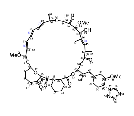 CO[C@H]1CC2CC[C@@H](C)C(=O)C(O)(O2)C(=O)N2CCCCC2C(=O)O[C@H]([C@H](C)C[C@@H]2CC[C@@H](n3cnnn3)[C@H](OC)C2)CC(=O)[C@H](C)/C=C(\C)[C@@H](O)[C@@H](OC)C(=O)[C@@H](C)C[C@H](C)/C=C/C=C/C=C/1C